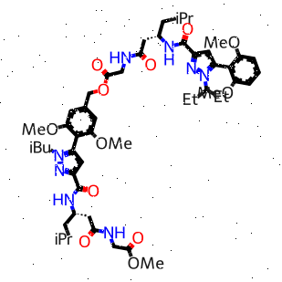 CCC(C)n1nc(C(=O)N[C@H](CC(=O)NCC(=O)OC)CC(C)C)cc1-c1c(OC)cc(COC(=O)CNC(=O)C[C@H](CC(C)C)NC(=O)c2cc(-c3c(OC)cccc3OC)n(C(CC)CC)n2)cc1OC